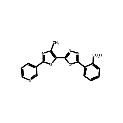 Cc1nc(-c2cccnc2)sc1-c1nnc(-c2ccccc2C(=O)O)o1